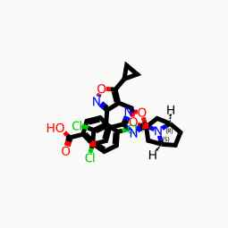 O=C(O)c1ccc(-c2noc(N3[C@@H]4CC[C@H]3C[C@@H](OCc3c(-c5c(Cl)cccc5Cl)noc3C3CC3)C4)n2)cc1Cl